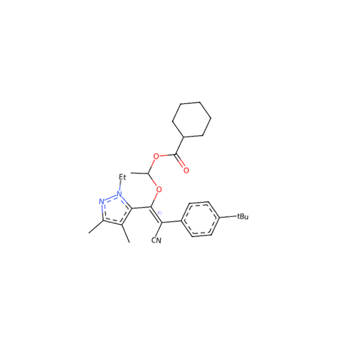 CCn1nc(C)c(C)c1/C(OC(C)OC(=O)C1CCCCC1)=C(\C#N)c1ccc(C(C)(C)C)cc1